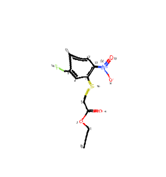 CCOC(=O)CSc1cc(F)ccc1[N+](=O)[O-]